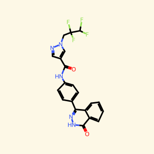 O=C(Nc1ccc(-c2n[nH]c(=O)c3ccccc23)cc1)c1cnn(CC(F)(F)C(F)F)c1